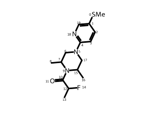 CSc1ccc(N2CC(C)N(C(=O)C(C)F)C(C)C2)nc1